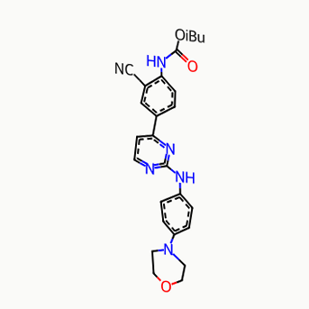 CC(C)COC(=O)Nc1ccc(-c2ccnc(Nc3ccc(N4CCOCC4)cc3)n2)cc1C#N